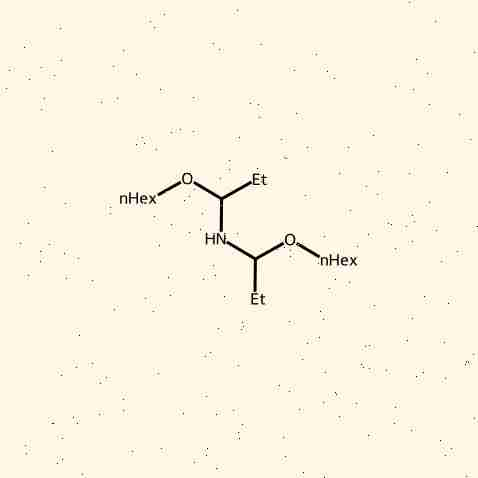 CCCCCCOC(CC)NC(CC)OCCCCCC